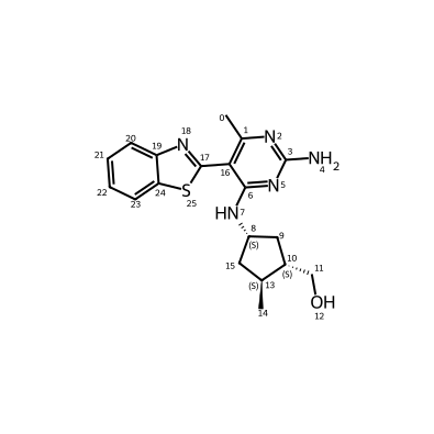 Cc1nc(N)nc(N[C@@H]2C[C@H](CO)[C@@H](C)C2)c1-c1nc2ccccc2s1